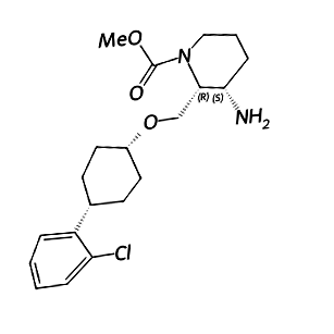 COC(=O)N1CCC[C@H](N)[C@@H]1CO[C@H]1CC[C@@H](c2ccccc2Cl)CC1